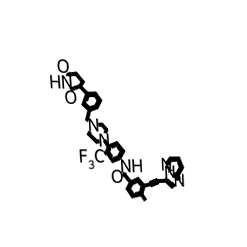 Cc1ccc(C(=O)Nc2ccc(N3CCN(Cc4cccc(C5CCC(=O)NC5=O)c4)CC3)c(C(F)(F)F)c2)cc1C#Cc1cnc2cccnn12